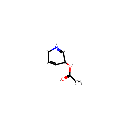 CC(=O)OC1C=CCN=C1